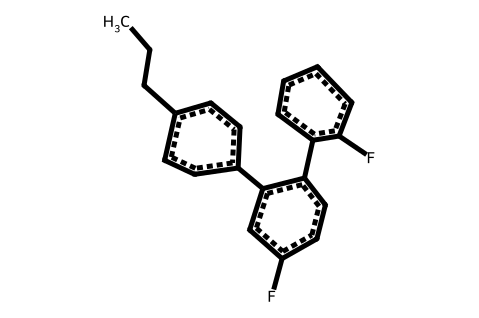 CCCc1ccc(-c2cc(F)ccc2-c2ccccc2F)cc1